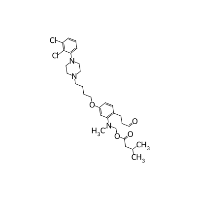 CC(C)CC(=O)OCN(C)c1cc(OCCCCN2CCN(c3cccc(Cl)c3Cl)CC2)ccc1CCC=O